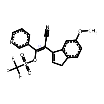 COc1ccc2c(c1)C(/C(C#N)=C(\OS(=O)(=O)C(F)(F)F)c1cccnc1)=CC2